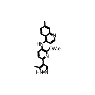 COc1nc(-c2cn[nH]c2C)ccc1Nc1ccnc2cc(C)ccc12